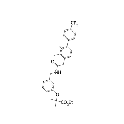 CCOC(=O)C(C)(C)Oc1cccc(CNC(=O)Cc2ccc(-c3ccc(C(F)(F)F)cc3)nc2C)c1